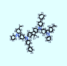 C=CC1=Cc2c(n(-c3ccccc3)c3ccc(N(c4ccc(-c5ccccc5)cc4)c4ccc5c(c4)C(C)(C)c4cc(N(C6=Cc7c(n(-c8ccccc8)c8ccc(C=C)cc78)CC6)c6ccc(C7C=CC=CC7)cc6)ccc4-5)cc23)CC1